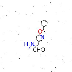 NC(C=O)Cc1ccc(OCc2ccccc2)nc1